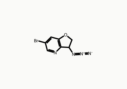 [N-]=[N+]=NC1COc2cc(Br)cnc21